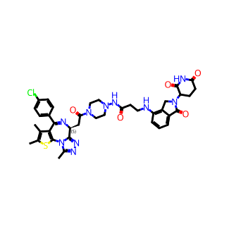 Cc1sc2c(c1C)C(c1ccc(Cl)cc1)=N[C@@H](CC(=O)N1CCN(NC(=O)CCNc3cccc4c3CN(C3CCC(=O)NC3=O)C4=O)CC1)c1nnc(C)n1-2